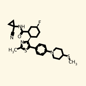 CSC1CCN(c2ccc(-c3sc(C)nc3[C@@H]3CC[C@H](F)CC3C(=O)NC3(C#N)CC3)cc2)CC1